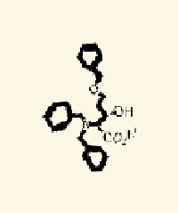 O=C(O)[C@H]([C@@H](O)CCOCc1ccccc1)N(Cc1ccccc1)Cc1ccccc1